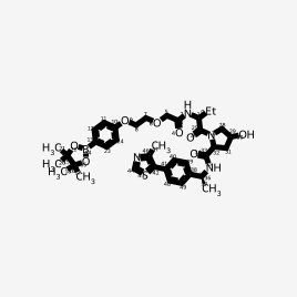 CCC(NC(=O)COCCOc1ccc(B2OC(C)(C)C(C)(C)O2)cc1)C(=O)N1CC(O)CC1C(=O)N[C@@H](C)c1ccc(-c2scnc2C)cc1